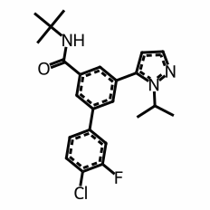 CC(C)n1nccc1-c1cc(C(=O)NC(C)(C)C)cc(-c2ccc(Cl)c(F)c2)c1